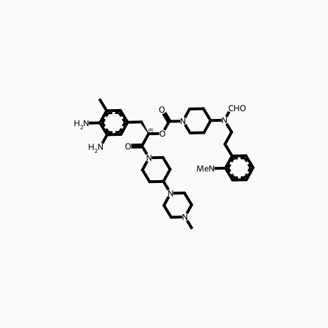 CNc1ccccc1CCN(C=O)C1CCN(C(=O)O[C@H](Cc2cc(C)c(N)c(N)c2)C(=O)N2CCC(N3CCN(C)CC3)CC2)CC1